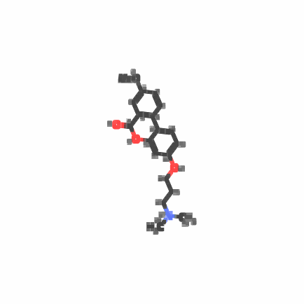 COc1ccc2c(c1)c(=O)oc1cc(OCCCN(C)C)ccc12